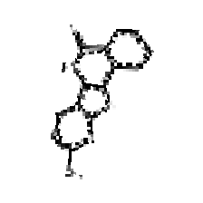 Cc1ccc2c(n1)oc1c3ccccc3c(=O)[nH]c21